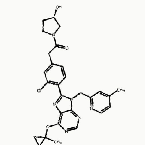 Cc1ccnc(Cn2c(-c3ccc(CC(=O)N4CC[C@@H](O)C4)cc3Cl)nc3c(OC4(C)CC4)ncnc32)c1